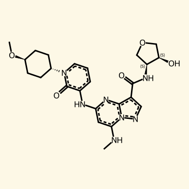 CNc1cc(Nc2cccn([C@H]3CC[C@H](OC)CC3)c2=O)nc2c(C(=O)N[C@H]3COC[C@H]3O)cnn12